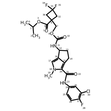 CC(C)OC(=O)C1(COC(=O)NC2CCc3c2cn(C)c3C(=O)Nc2ccc(F)c(Cl)c2)CC(F)(F)C1